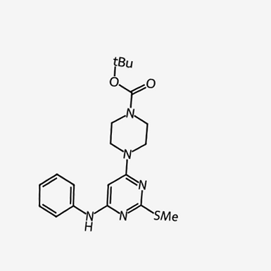 CSc1nc(Nc2ccccc2)cc(N2CCN(C(=O)OC(C)(C)C)CC2)n1